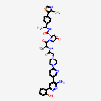 Cc1ncsc1-c1ccc(C(C)NC(=O)[C@@H]2C[C@@H](O)CN2C(=O)C(NC(=O)CN2CCN(c3ccc(-c4cc(-c5ccccc5O)nnc4N)cn3)CC2)C(C)(C)C)cc1